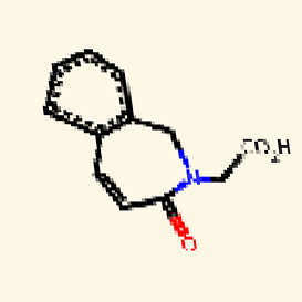 O=C(O)CN1Cc2ccccc2C=CC1=O